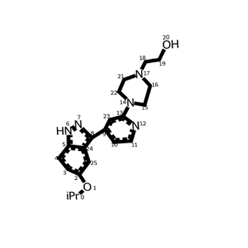 CC(C)Oc1ccc2[nH]nc(-c3ccnc(N4CCN(CCO)CC4)c3)c2c1